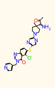 C[C@@H]1OCC2(CCN(c3cnc(Sc4ccc5ncn(Cc6ccncc6)c(=O)c5c4Cl)cn3)CC2)[C@@H]1N